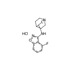 Cl.Fc1cccc2onc(NC3CN4CCC3CC4)c12